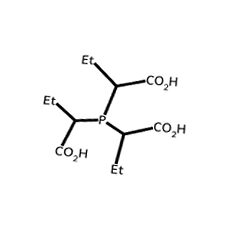 CCC(C(=O)O)P(C(CC)C(=O)O)C(CC)C(=O)O